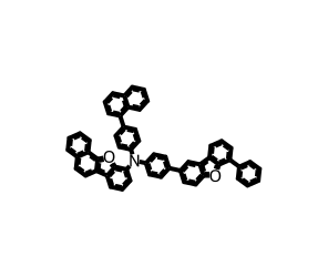 c1ccc(-c2cccc3c2oc2ccc(-c4ccc(N(c5ccc(-c6cccc7ccccc67)cc5)c5cccc6c5oc5c7ccccc7ccc65)cc4)cc23)cc1